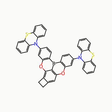 c1ccc2c(c1)Sc1ccccc1N2c1ccc2c(c1)Oc1cc3c(c4c1B2c1ccc(N2c5ccccc5Sc5ccccc52)cc1O4)CC3